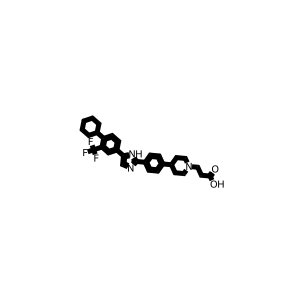 O=C(O)CCN1CCC(c2ccc(-c3ncc(-c4ccc(C5CCCCC5)c(C(F)(F)F)c4)[nH]3)cc2)CC1